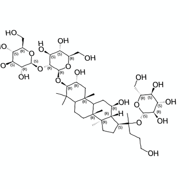 CC(CCCO)(O[C@@H]1O[C@H](CO)[C@@H](O)[C@H](O)[C@H]1O)[C@H]1CC[C@]2(C)[C@@H]1[C@H](O)CC1[C@@]3(C)C[C@@H](O)[C@H](O[C@@H]4O[C@H](CO)[C@@H](O)[C@H](O)[C@H]4O[C@@H]4O[C@H](CO)[C@@H](O)[C@H](O)[C@H]4O)C(C)(C)C3CC[C@]12C